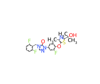 Cc1nc(C(C)(C)O)sc1Oc1ccc(-n2ncn(Cc3c(F)cccc3F)c2=O)cc1F